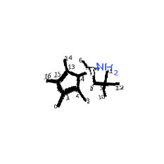 CC1=C(C)[CH]([Ti]([CH3])([NH2])[CH2]C(C)(C)C)C(C)=C1C